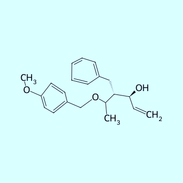 C=C[C@H](O)[C@@H](Cc1ccccc1)C(C)OCc1ccc(OC)cc1